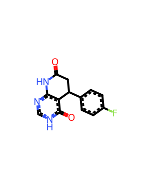 O=C1CC(c2ccc(F)cc2)c2c(nc[nH]c2=O)N1